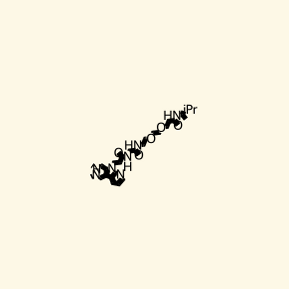 CC(C)C(C)NC(=O)CCOCCOCCNC(=O)CNC(=O)CCn1c2c(c3cccnc31)CN(C)N(C)C2